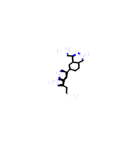 COCCc1c[nH]c2ncc(C3CCC4C(=O)NN=C(CN)C4C3)cc12